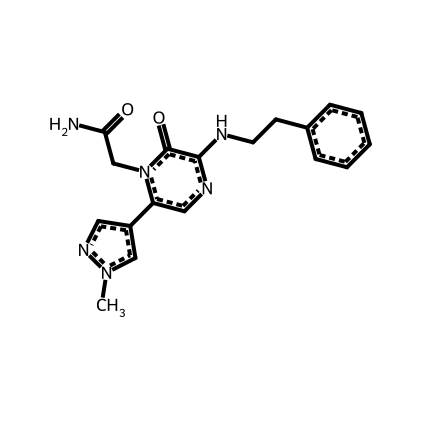 Cn1cc(-c2cnc(NCCc3ccccc3)c(=O)n2CC(N)=O)cn1